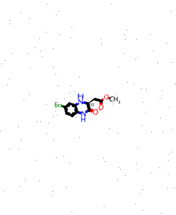 COC(=O)C[C@@H]1Nc2cc(Br)ccc2NC1=O